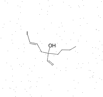 C=CC(O)(CC=CI)CCCC